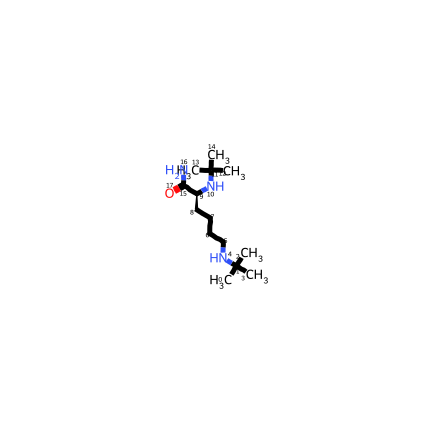 CC(C)(C)NCCCC[C@H](NC(C)(C)C)C(N)=O